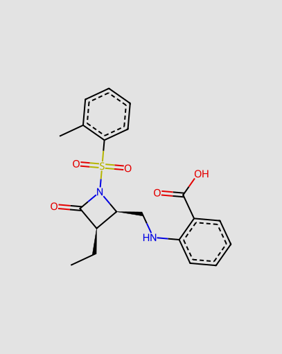 CC[C@H]1C(=O)N(S(=O)(=O)c2ccccc2C)[C@H]1CNc1ccccc1C(=O)O